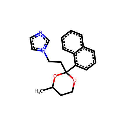 CC1CCOC(CCn2ccnc2)(c2cccc3ccccc23)O1